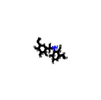 CCC1CC(C(C)(C)NC2C(C)C(C)CC(CC)C2C)C(C)C(C)C1C